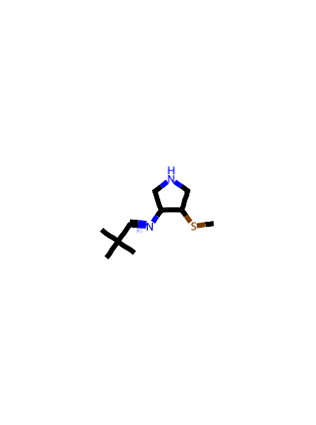 CSC1CNCC1/N=C/C(C)(C)C